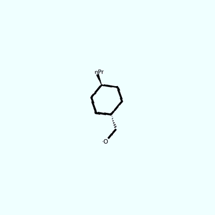 CCC[C@H]1CC[C@H](C[O])CC1